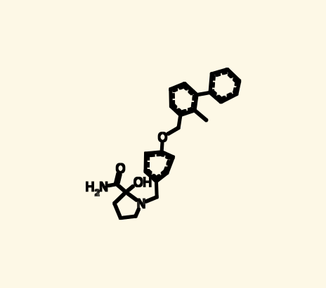 Cc1c(COc2ccc(CN3CCCC3(O)C(N)=O)cc2)cccc1-c1ccccc1